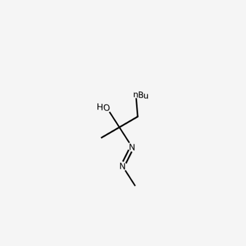 CCCCCC(C)(O)/N=N/C